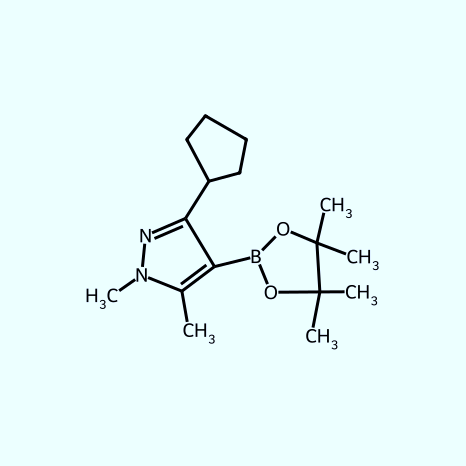 Cc1c(B2OC(C)(C)C(C)(C)O2)c(C2CCCC2)nn1C